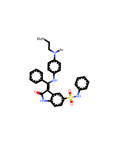 CNCCN(C(C)=O)c1ccc(NC(=C2C(=O)Nc3ccc(S(=O)(=O)Nc4ccccc4)cc32)c2ccccc2)cc1